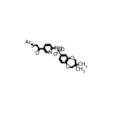 CC(=O)SCC(=O)c1ccc(NS(=O)(=O)c2ccc3c(c2)OCC(C)(C)CO3)nc1